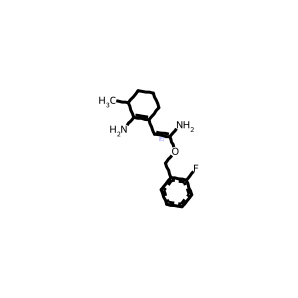 CC1CCCC(/C=C(\N)OCc2ccccc2F)=C1N